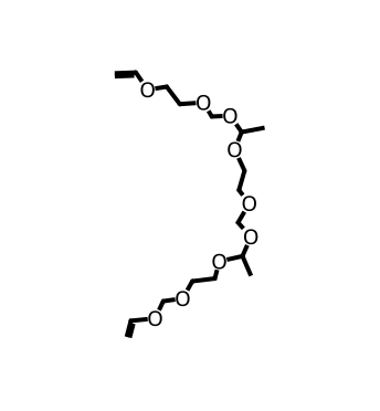 C=COCCOCOC(C)OCCOCOC(C)OCCOCOC=C